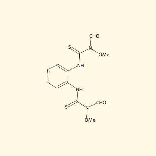 CON(C=O)C(=S)Nc1ccccc1NC(=S)N(C=O)OC